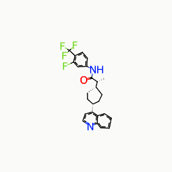 C[C@@H](C(=O)Nc1ccc(C(F)(F)F)c(F)c1)[C@H]1CC[C@@H](c2ccnc3ccccc32)CC1